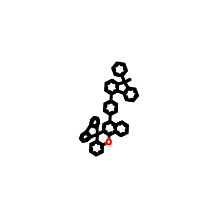 CC1(c2ccccc2)c2ccccc2-c2c(-c3ccc(-c4cc5c(c6ccccc46)Oc4ccccc4C54c5ccccc5-c5ccccc54)cc3)cccc21